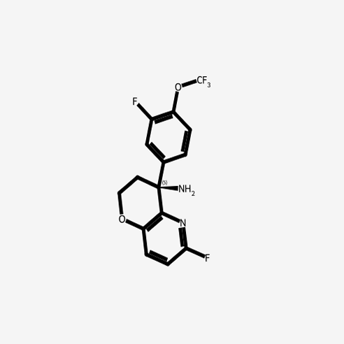 N[C@]1(c2ccc(OC(F)(F)F)c(F)c2)CCOc2ccc(F)nc21